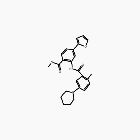 COC(=O)c1ccc(-c2ccco2)cc1NC(=O)c1cc(N2CCCCC2)ccc1C